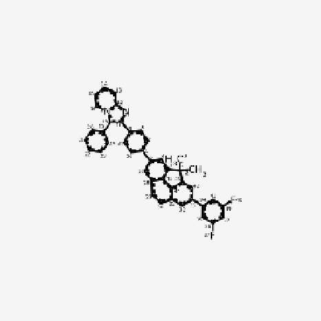 CC1(C)c2cc(-c3ccc(-c4nc5ccccn5c4-c4ccccc4)cc3)cc3ccc4cc(-c5cc(F)cc(F)c5)cc1c4c23